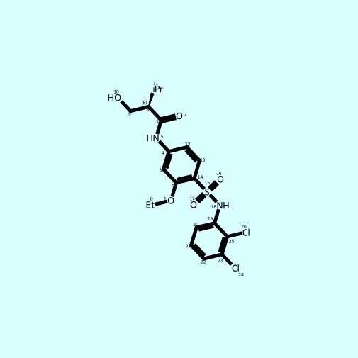 CCOc1cc(NC(=O)[C@@H](CO)C(C)C)ccc1S(=O)(=O)Nc1cccc(Cl)c1Cl